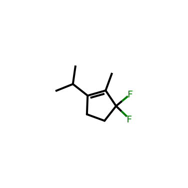 CC1=C(C(C)C)CCC1(F)F